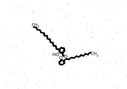 CCCCCCCCCCCCCCCCc1cccc(C(=O)Oc2ccccc2CCCCCCCCCCCC)c1O